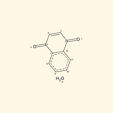 O.O=C1C=CC(=O)c2ccccc21